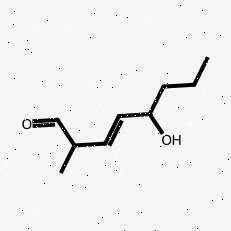 CCCC(O)C=CC(C)C=O